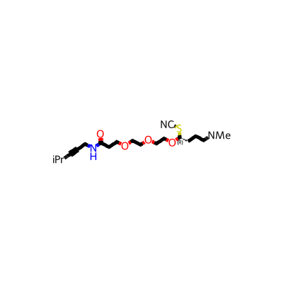 CNCCC[C@H](OCCOCCOCCC(=O)NCC#CC(C)C)SC#N